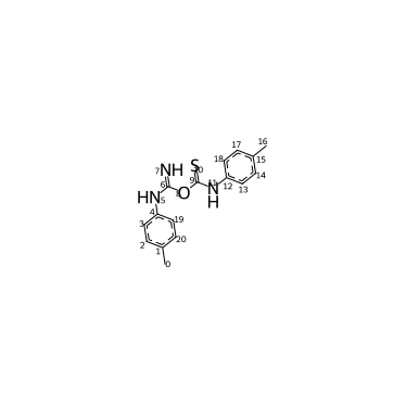 Cc1ccc(NC(=N)OC(=S)Nc2ccc(C)cc2)cc1